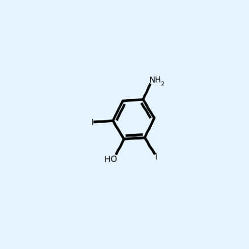 Nc1cc(I)c(O)c(I)c1